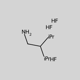 CC(C)C(CN)C(C)C.F.F.F